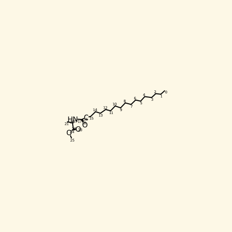 CCCCCCCCCCCCCCCCCC(=O)NC(C)C(=O)OC